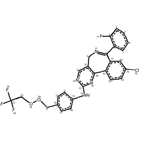 Fc1ccccc1C1=NCc2cnc(Nc3ccc(COOCC(F)(F)F)cc3)nc2-c2ccc(Cl)cc21